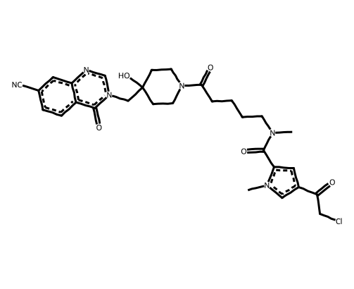 CN(CCCCC(=O)N1CCC(O)(Cn2cnc3cc(C#N)ccc3c2=O)CC1)C(=O)c1cc(C(=O)CCl)cn1C